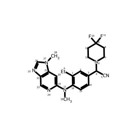 CCc1cc(C(C#N)N2CCC(F)(F)CC2)ccc1N(C)c1cc2c(cn1)ncn2C